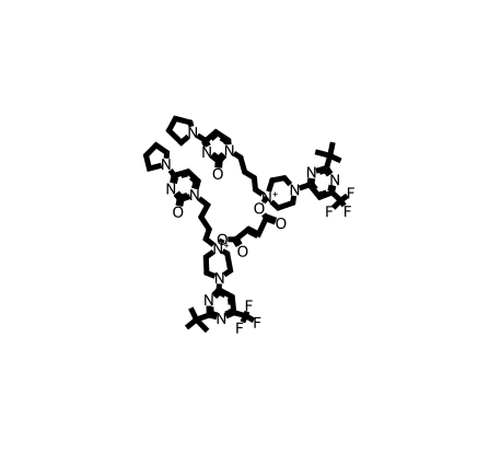 CC(C)(C)c1nc(N2CC[N+](CCCCn3ccc(N4CCCC4)nc3=O)(OC(=O)/C=C/C(=O)O[N+]3(CCCCn4ccc(N5CCCC5)nc4=O)CCN(c4cc(C(F)(F)F)nc(C(C)(C)C)n4)CC3)CC2)cc(C(F)(F)F)n1